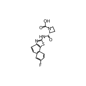 O=C(Nc1nc2ccc3cc(F)ccc3c2s1)[C@H]1CCN1C(=O)O